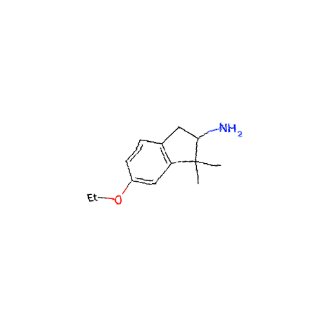 CCOc1ccc2c(c1)C(C)(C)C(N)C2